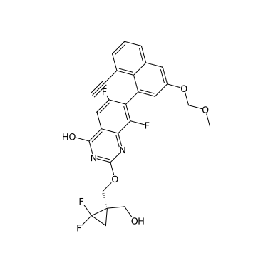 C#Cc1cccc2cc(OCOC)cc(-c3c(F)cc4c(O)nc(OC[C@]5(CO)CC5(F)F)nc4c3F)c12